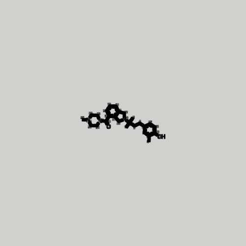 Cc1cc(CCC(C)(C)N2Cc3cccc(C(=O)N4CCN(C)CC4)c3C2)ccc1O